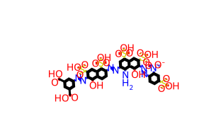 Nc1c(N=Nc2ccc3c(O)c(N=Nc4cc(C(=O)O)cc(C(=O)O)c4)c(S(=O)(=O)O)cc3c2S(=O)(=O)O)cc(S(=O)(=O)O)c2cc(S(=O)(=O)O)c(N=Nc3ccc(S(=O)(=O)O)cc3[N+](=O)[O-])c(O)c12